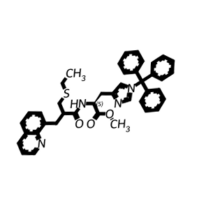 CCSCC(Cc1cccc2cccnc12)C(=O)N[C@@H](Cc1cn(C(c2ccccc2)(c2ccccc2)c2ccccc2)cn1)C(=O)OC